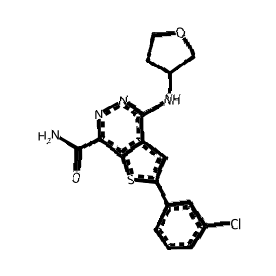 NC(=O)c1nnc(NC2CCOC2)c2cc(-c3cccc(Cl)c3)sc12